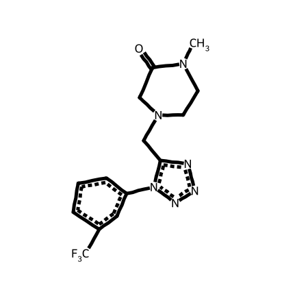 CN1CCN(Cc2nnnn2-c2cccc(C(F)(F)F)c2)CC1=O